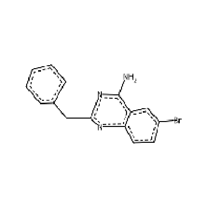 Nc1nc(Cc2ccccc2)nc2ccc(Br)cc12